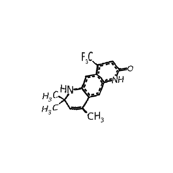 CC1=CC(C)(C)Nc2cc3c(C(F)(F)F)cc(=O)[nH]c3cc21